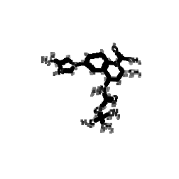 CC(=O)N1c2ccc(-n3cnc(C)c3)cc2C(NC(=O)OC(C)(C)C)C[C@H]1C